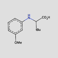 COc1cccc(NC(C(=O)O)C(C)(C)C)c1